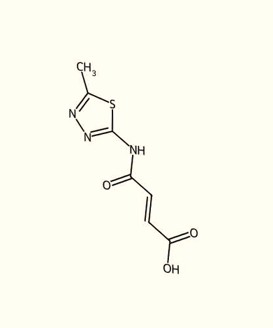 Cc1nnc(NC(=O)C=CC(=O)O)s1